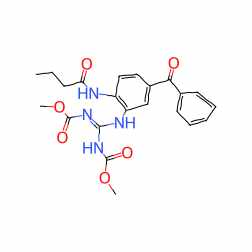 CCCC(=O)Nc1ccc(C(=O)c2ccccc2)cc1NC(=NC(=O)OC)NC(=O)OC